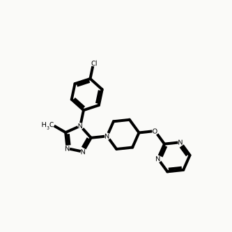 Cc1nnc(N2CCC(Oc3ncccn3)CC2)n1-c1ccc(Cl)cc1